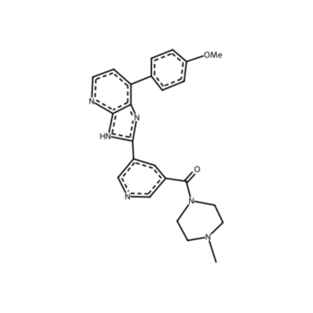 COc1ccc(-c2ccnc3[nH]c(-c4cncc(C(=O)N5CCN(C)CC5)c4)nc23)cc1